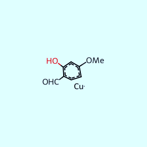 COc1ccc(C=O)c(O)c1.[Cu]